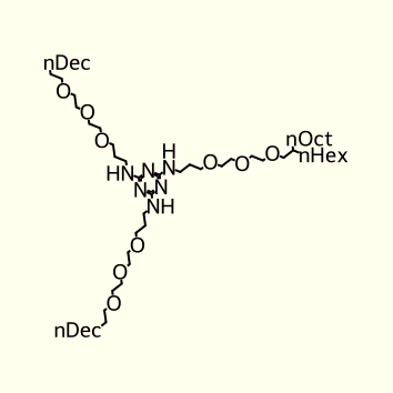 CCCCCCCCCCCCOCCOCCOCCCNc1nc(NCCCOCCOCCOCCCCCCCCCCCC)nc(NCCCOCCOCCOCC(CCCCCC)CCCCCCCC)n1